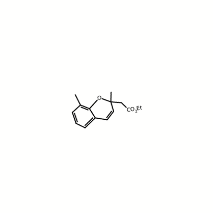 CCOC(=O)CC1(C)C=Cc2cccc(C)c2O1